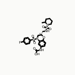 CC1CCCCN1S(=O)(=O)NC[C@H]1CN(S(=O)(=O)c2ccc(F)cc2)c2cc(NC(=O)O)ccc2O1